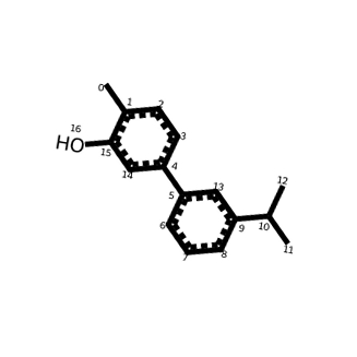 Cc1ccc(-c2cccc(C(C)C)c2)cc1O